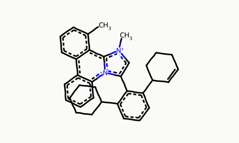 Cc1cccc2c3ccccc3n3c(-c4c(C5C=CCCC5)cccc4C4CCCCC4)c[n+](C)c3c12